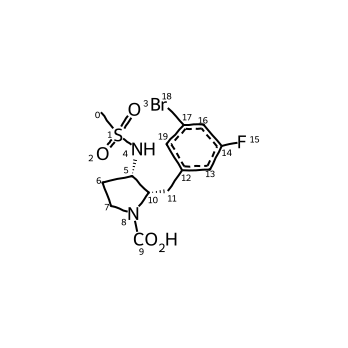 CS(=O)(=O)N[C@H]1CCN(C(=O)O)[C@H]1Cc1cc(F)cc(Br)c1